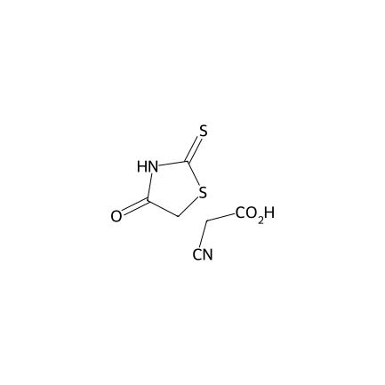 N#CCC(=O)O.O=C1CSC(=S)N1